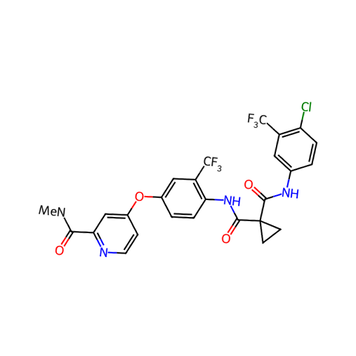 CNC(=O)c1cc(Oc2ccc(NC(=O)C3(C(=O)Nc4ccc(Cl)c(C(F)(F)F)c4)CC3)c(C(F)(F)F)c2)ccn1